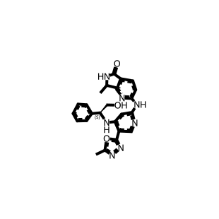 Cc1nnc(-c2cnc(Nc3ccc4c(n3)C(C)NC4=O)cc2N[C@H](CO)c2ccccc2)o1